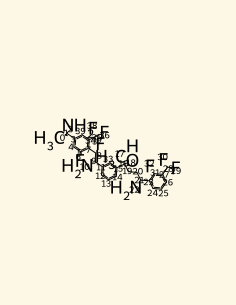 C[C@@H](N)c1cc(F)c(C[C@@H](N)c2cccc(C(C)(O)CC[C@@H](N)c3cccc(C(F)F)c3F)c2)c(C(F)(F)F)c1